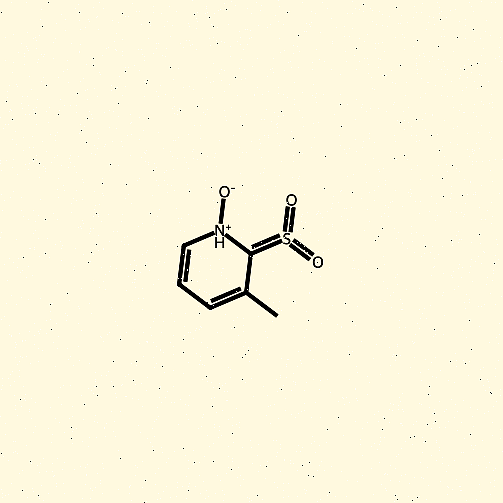 CC1=CC=C[NH+]([O-])C1=S(=O)=O